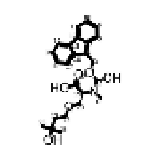 CN([C@H](O)OCC1c2ccccc2-c2ccccc21)[C@@H](COCCC(C)(C)O)C(=O)O